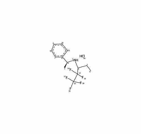 CCC(N[C@@H](C)c1ccccc1)C(F)(F)C(F)(F)F.Cl